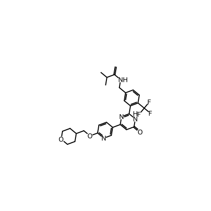 C=C(NCc1ccc(C(F)(F)F)c(-c2nc(-c3ccc(OCC4CCOCC4)nc3)cc(=O)[nH]2)c1)C(C)C